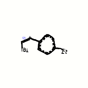 CCCC/C=[C]\c1ccc(CC)cc1